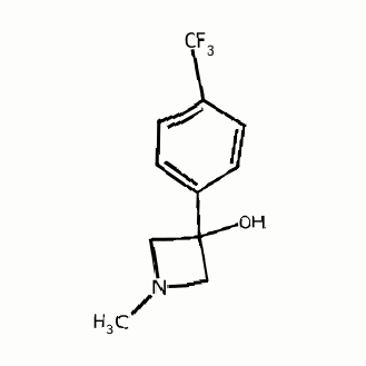 CN1CC(O)(c2ccc(C(F)(F)F)cc2)C1